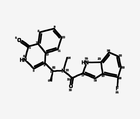 C[C@@H](c1c[nH]c(=O)c2ccccc12)N(C)C(=O)c1cc2c(F)cccc2[nH]1